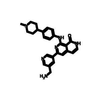 CN1CCC(c2ccc(Nc3nc(-c4cncc(CN)c4)cc4cc[nH]c(=O)c34)cc2)CC1